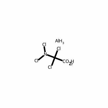 O=C(O)C(Cl)(Cl)N(Cl)Cl.[AlH3].[Zr]